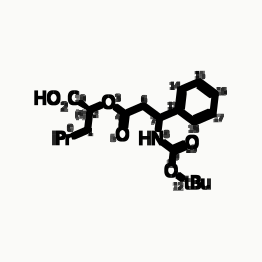 CC(C)C[C@H](OC(=O)CC(NC(=O)OC(C)(C)C)c1ccccc1)C(=O)O